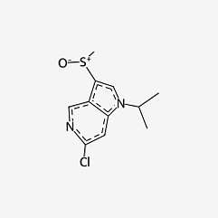 CC(C)n1cc([S+](C)[O-])c2cnc(Cl)cc21